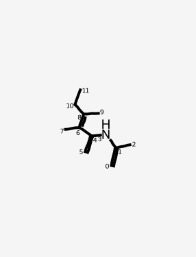 C=C(C)NC(=C)/C(C)=C(\C)CC